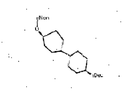 CCCCCCCCCC[C@H]1CC[C@H]([C@H]2CC[C@H](OCCCCCCCCC)CC2)CC1